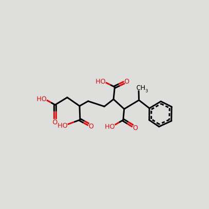 CC(c1ccccc1)C(C(=O)O)C(CCC(CC(=O)O)C(=O)O)C(=O)O